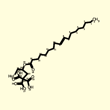 CCCCCCCCC=CCCCCCCCC(=O)OC(CC)CC(C(=O)O)(C(=O)O)C(=O)O